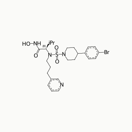 CC(C)[C@H](C(=O)NO)N(CCCc1cccnc1)S(=O)(=O)N1CCC(c2ccc(Br)cc2)CC1